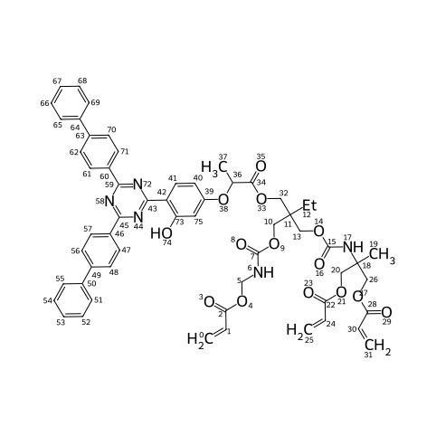 C=CC(=O)OCNC(=O)OCC(CC)(COC(=O)NC(C)(COC(=O)C=C)COC(=O)C=C)COC(=O)C(C)Oc1ccc(-c2nc(-c3ccc(-c4ccccc4)cc3)nc(-c3ccc(-c4ccccc4)cc3)n2)c(O)c1